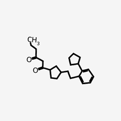 CCCC(=O)CC(=O)C1CCC(CCc2ccccc2C2CCCC2)C1